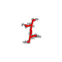 CCCCOC(=O)CCCCCCC(O)CN(CCCCC(=O)OCCN1CCN(CCSSCCCCN(CC(O)CCCCCCC(=O)OCCC(C)C)CC(O)CCCCCCC(=O)OCCC(C)C)CC1)CC(O)CCCCCCC(=O)OCCCC